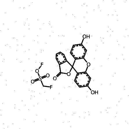 O=C1OC2(c3ccc(O)cc3Oc3cc(O)ccc32)c2ccccc21.O=S(=O)(CF)OF